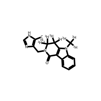 [2H]C([2H])([2H])n1c2c(c3ccccc31)C(=O)N(Cc1nc[nH]c1C)C([2H])([2H])C2([2H])[2H]